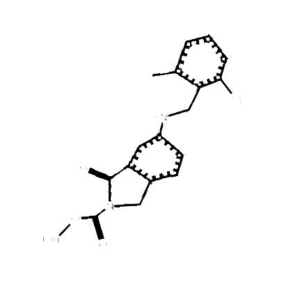 CC(C)(C)OC(=O)N1Cc2ccc(NCc3c(Cl)cccc3Cl)cc2C1=O